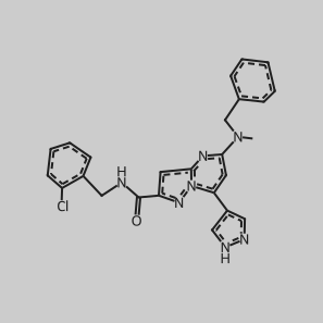 CN(Cc1ccccc1)c1cc(-c2cn[nH]c2)n2nc(C(=O)NCc3ccccc3Cl)cc2n1